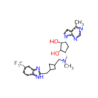 Cc1ncnc2c1ccn2[C@@H]1C[C@H](CN(C)CC2CC(Cc3nc4cc(C(F)(F)F)ccc4[nH]3)C2)[C@@H](O)[C@H]1O